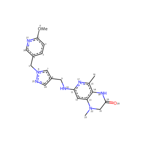 COc1ccc(Cn2cc(CNc3cc4c(c(C)n3)NC(=O)CN4C)cn2)cn1